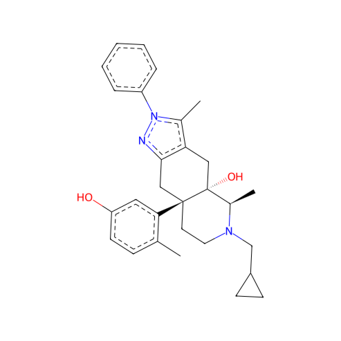 Cc1ccc(O)cc1[C@]12CCN(CC3CC3)[C@H](C)[C@]1(O)Cc1c(nn(-c3ccccc3)c1C)C2